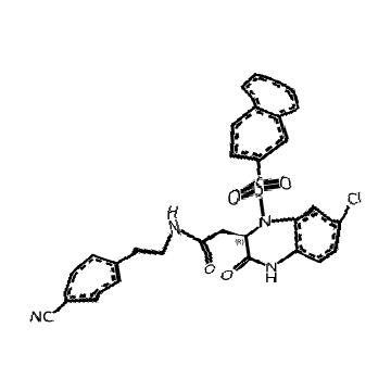 N#Cc1ccc(CCNC(=O)C[C@@H]2C(=O)Nc3ccc(Cl)cc3N2S(=O)(=O)c2ccc3ccccc3c2)cc1